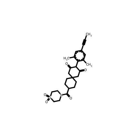 CC#Cc1cc(C)c(C2C(=O)CC3(CCC(C(=O)N4CCS(=O)(=O)CC4)CC3)CC2=O)c(C)c1